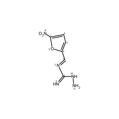 N=C(N=Cc1ccc([N+](=O)[O-])o1)NN